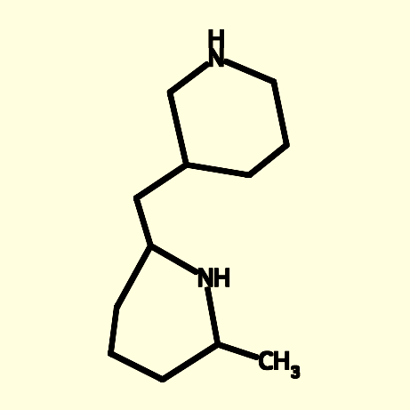 CC1CCCC(CC2CCCNC2)N1